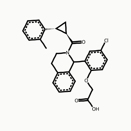 Cc1ccccc1[C@@H]1C[C@H]1C(=O)N1CCc2ccccc2C1c1cc(Cl)ccc1OCC(=O)O